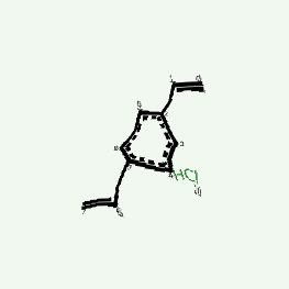 C=Cc1ccc(C=C)cc1.Cl